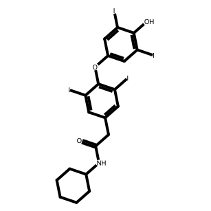 O=C(Cc1cc(I)c(Oc2cc(I)c(O)c(I)c2)c(I)c1)NC1CCCCC1